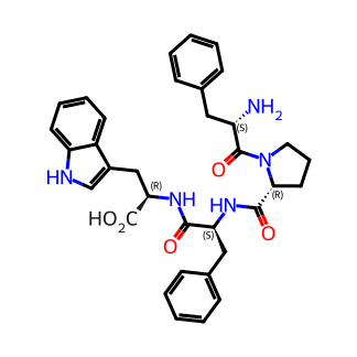 N[C@@H](Cc1ccccc1)C(=O)N1CCC[C@@H]1C(=O)N[C@@H](Cc1ccccc1)C(=O)N[C@H](Cc1c[nH]c2ccccc12)C(=O)O